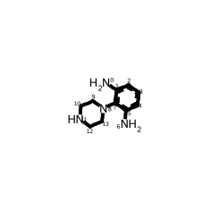 Nc1cccc(N)c1N1CCNCC1